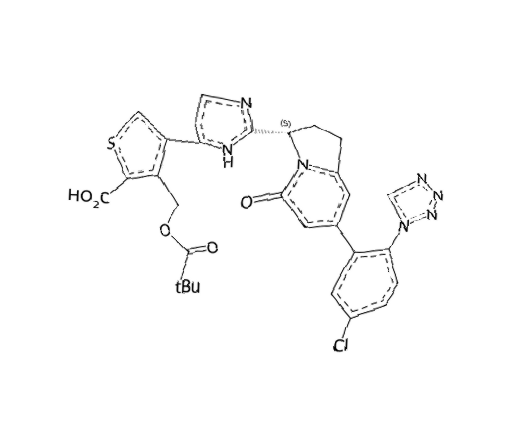 CC(C)(C)C(=O)OCc1c(-c2cnc([C@@H]3CCc4cc(-c5cc(Cl)ccc5-n5cnnn5)cc(=O)n43)[nH]2)csc1C(=O)O